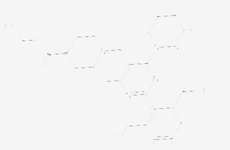 CCOC(=O)C1CCN(Cc2c(C)nc(-c3c(CC)cccc3CC)nc2N2CCCCC2)CC1